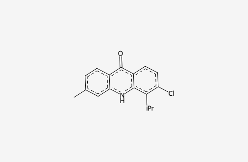 Cc1ccc2c(=O)c3ccc(Cl)c(C(C)C)c3[nH]c2c1